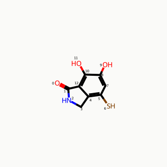 O=C1NCc2c(S)cc(O)c(O)c21